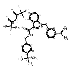 C[N+](C)(C)c1ccc(CNC(=O)c2cn(Cc3cccc(C(=N)N)c3)c3ccccc23)cc1.O=C(OC(=O)C(F)(F)F)C(F)(F)F